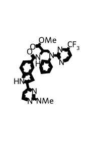 CNc1nccc(-c2cc3cc(C(=O)NC(CN(c4ccccc4)c4nccc(C(F)(F)F)n4)C(=O)OC)ccc3[nH]2)n1